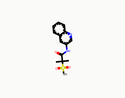 CCCS(=O)(=O)C(C)(C)C(=O)Nc1cnc2ccccc2c1